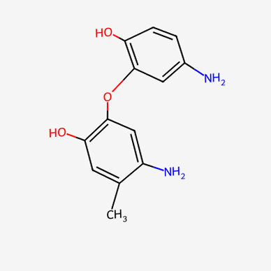 Cc1cc(O)c(Oc2cc(N)ccc2O)cc1N